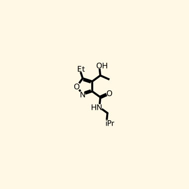 CCc1onc(C(=O)NCC(C)C)c1C(C)O